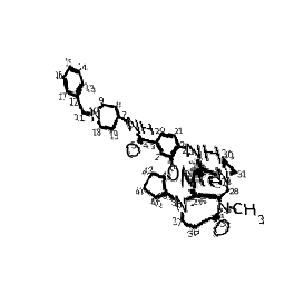 COc1cc(C(=O)NC2CCN(Cc3ccccc3)CC2)ccc1NC1=NC2=C(C[N+]13CC3)N(C)C(=O)CCN2C1CCCC1